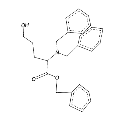 O=C(OCc1ccccc1)C(CCCO)N(Cc1ccccc1)Cc1ccccc1